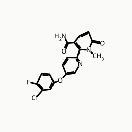 Cn1c(-c2ccc(Oc3ccc(F)c(Cl)c3)cn2)c(C(N)=O)ccc1=O